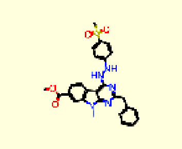 COC(=O)c1ccc2c(c1)[nH]c1nc(Cc3ccccc3)nc(NNc3ccc(S(C)(=O)=O)cc3)c12